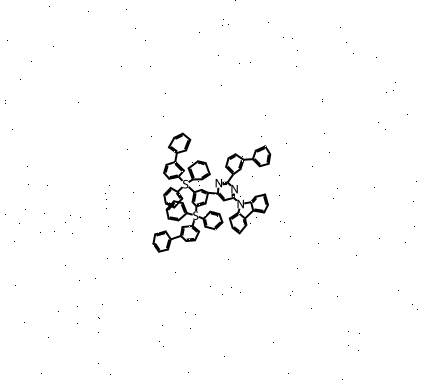 c1ccc(-c2cccc(-c3nc(-c4cc(S(c5ccccc5)(c5ccccc5)c5cccc(-c6ccccc6)c5)cc(S(c5ccccc5)(c5ccccc5)c5cccc(-c6ccccc6)c5)c4)cc(-n4c5ccccc5c5ccccc54)n3)c2)cc1